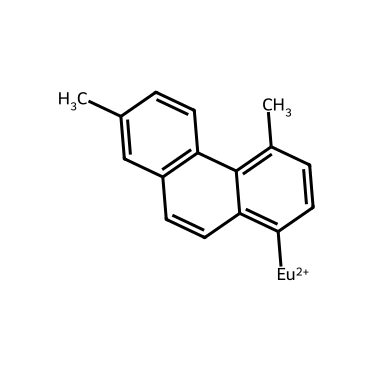 Cc1ccc2c(ccc3[c]([Eu+2])ccc(C)c32)c1